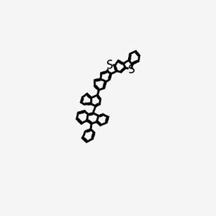 c1ccc(-c2c3ccccc3c(-c3ccc(-c4ccc5cc6sc7cc8c(cc7c6cc5c4)sc4ccccc48)c4ccccc34)c3ccccc23)cc1